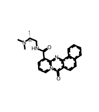 C[C@H](CNC(=O)c1cccn2c(=O)c3ccc4ccccc4c3nc12)N(C)C